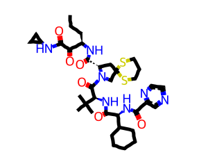 CCC[C@@H](NC(=O)[C@@H]1CC2(CN1C(=O)[C@@H](NC(=O)[C@@H](NC(=O)c1cnccn1)C1CCCCC1)C(C)(C)C)SCCCS2)C(=O)C(=O)NC1CC1